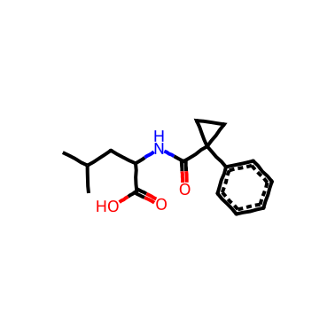 CC(C)CC(NC(=O)C1(c2ccccc2)CC1)C(=O)O